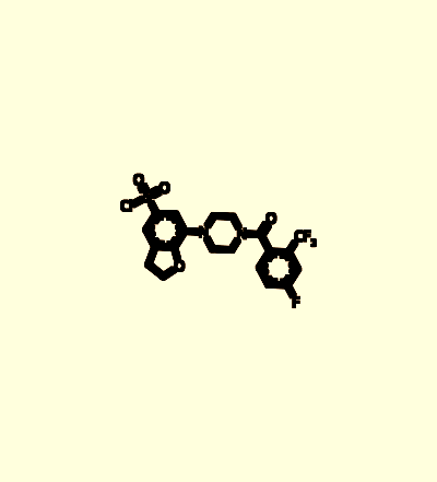 O=C(c1ccc(F)cc1C(F)(F)F)N1CCN(c2cc(S(=O)(=O)Cl)cc3c2OCC3)CC1